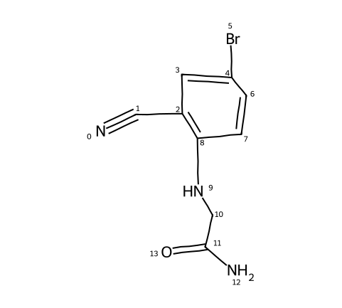 N#Cc1cc(Br)ccc1NCC(N)=O